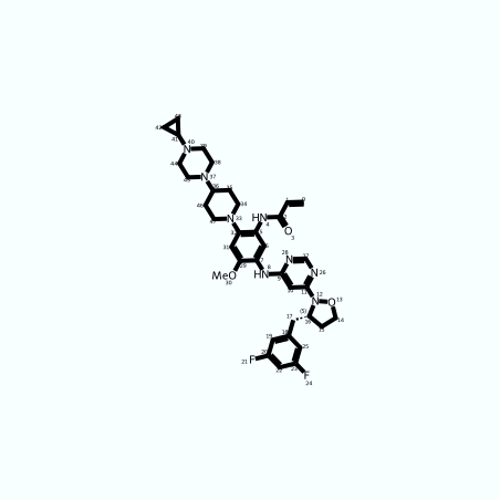 C=CC(=O)Nc1cc(Nc2cc(N3OCC[C@@H]3Cc3cc(F)cc(F)c3)ncn2)c(OC)cc1N1CCC(N2CCN(C3CC3)CC2)CC1